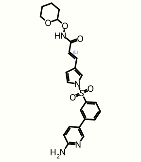 Nc1ccc(-c2cccc(S(=O)(=O)n3ccc(/C=C/C(=O)NOC4CCCCO4)c3)c2)cn1